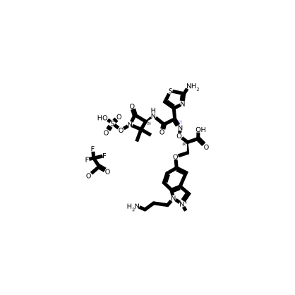 C[n+]1cc2cc(OC[C@@H](O/N=C(\C(=O)N[C@@H]3C(=O)N(OS(=O)(=O)O)C3(C)C)c3csc(N)n3)C(=O)O)ccc2n1CCCN.O=C([O-])C(F)(F)F